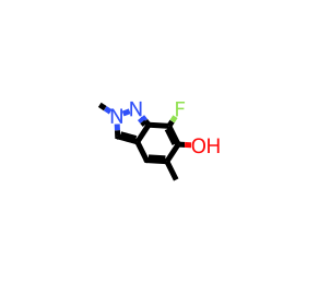 Cc1cc2cn(C)nc2c(F)c1O